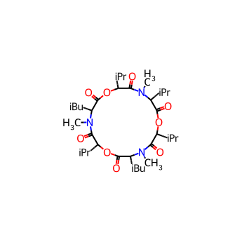 CCC(C)C1C(=O)OC(C(C)C)C(=O)N(C)C(C(C)CC)C(=O)OC(C(C)C)C(=O)N(C)C(C(C)C)C(=O)OC(C(C)C)C(=O)N1C